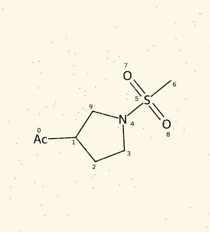 CC(=O)C1CCN(S(C)(=O)=O)C1